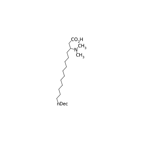 CCCCCCCCCCCCCCCCCCCCCC(CC(=O)O)N(C)C